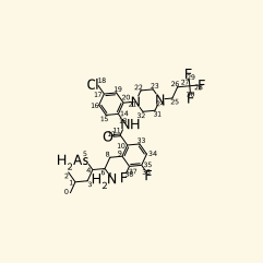 CC(C)CC([AsH2])C(N)Cc1c(C(=O)Nc2ccc(Cl)cc2N2CCN(CCC(F)(F)F)CC2)ccc(F)c1F